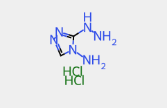 Cl.Cl.NNc1nncn1N